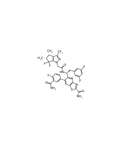 C[C@@H]1c2c(C(F)(F)F)nn(CC(=O)N[C@@H](Cc3cc(F)cc(F)c3)c3nc4nc(C(N)=O)sc4cc3-c3ccc(F)c(C(N)=O)c3)c2C(F)(F)[C@@H]1C